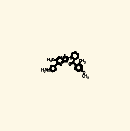 COc1ccc(C(=O)N2CCCC[C@H]2c2cc3nc(C4CC[C@H](N)C4)c(C)cn3n2)c(C)c1